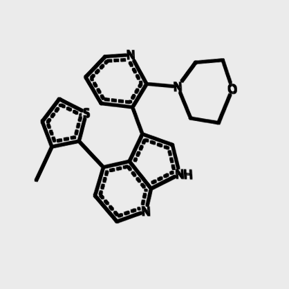 Cc1ccsc1-c1ccnc2[nH]cc(-c3cccnc3N3CCOCC3)c12